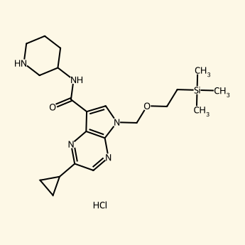 C[Si](C)(C)CCOCn1cc(C(=O)NC2CCCNC2)c2nc(C3CC3)cnc21.Cl